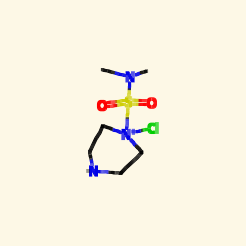 CN(C)S(=O)(=O)[N+]1(Cl)CC[N]CC1